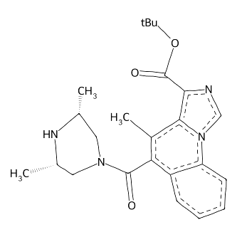 Cc1c(C(=O)N2C[C@@H](C)N[C@@H](C)C2)c2ccccc2n2cnc(C(=O)OC(C)(C)C)c12